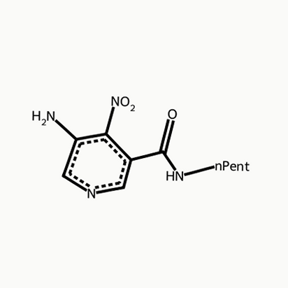 CCCCCNC(=O)c1cncc(N)c1[N+](=O)[O-]